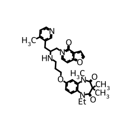 CCN1C(=O)C(C)(C)C(=O)N(C)c2cc(OCCCNC(Cc3cnccc3C)Cn3ccc4occc4c3=O)ccc21